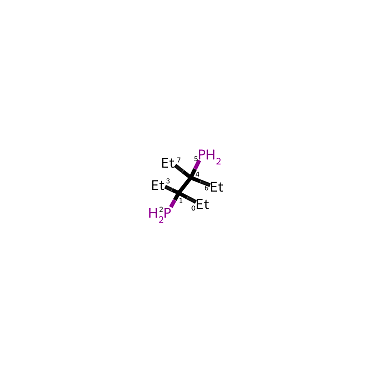 CCC(P)(CC)C(P)(CC)CC